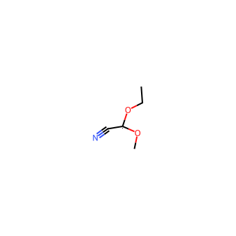 CCO[C](C#N)OC